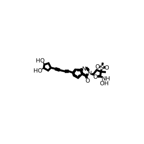 CC(CCn1cnc2cc(C#CC#CC3C[C@@H](O)[C@@H](O)C3)ccc2c1=O)(C(=O)NO)S(C)(=O)=O